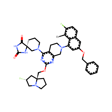 CCc1c(F)ccc2cc(OCc3ccccc3)cc(N3CCc4c(nc(OC[C@@]56CCCN5C[C@H](F)C6)nc4N4CCC[C@]5(C4)NC(=O)NC5=O)C3)c12